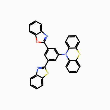 c1ccc2c(c1)Sc1ccccc1N2c1cc(-c2nc3ccccc3o2)cc(-c2nc3ccccc3s2)c1